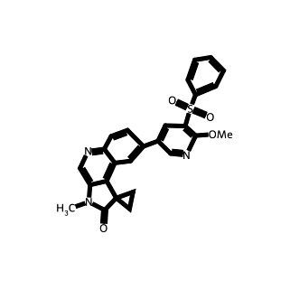 COc1ncc(-c2ccc3ncc4c(c3c2)C2(CC2)C(=O)N4C)cc1S(=O)(=O)c1ccccc1